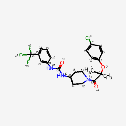 CC(C)(Oc1ccc(Cl)cc1)C(=O)N1CCC(NC(=O)Nc2cccc(C(F)(F)F)c2)CC1